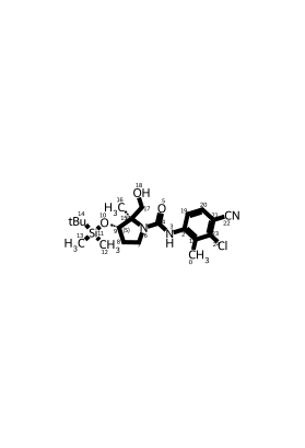 Cc1c(NC(=O)N2CC[C@H](O[Si](C)(C)C(C)(C)C)[C@@]2(C)CO)ccc(C#N)c1Cl